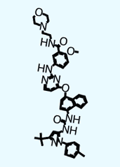 COc1ccc(Nc2nccc(Oc3ccc(NC(=O)Nc4cc(C(C)(C)C)nn4-c4ccc(C)cc4)c4ccccc34)n2)cc1C(=O)NCCN1CCOCC1